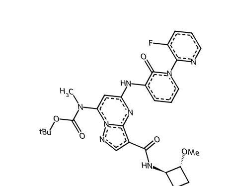 CO[C@@H]1CC[C@H]1NC(=O)c1cnn2c(N(C)C(=O)OC(C)(C)C)cc(Nc3cccn(-c4ncccc4F)c3=O)nc12